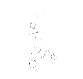 COC(=O)C1=C(C2CCN(S(=O)(=O)c3cnn([C@H]4C[C@H](C(=O)O)C4)c3)CC2)NC(c2nccs2)=N[C@@H]1c1ccc(F)cc1Cl